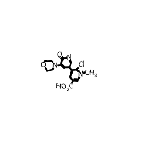 CN1C=C(C(=O)O)C=C(C2C=NC(=O)C(N3CCOCC3)=C2)C1Cl